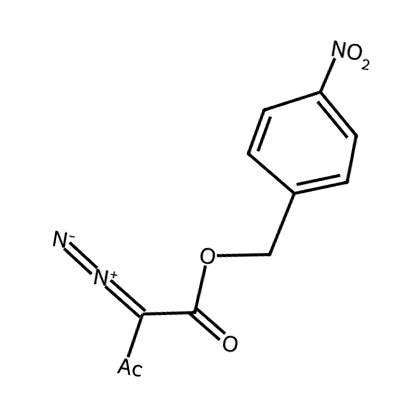 [CH2]C(=O)C(=[N+]=[N-])C(=O)OCc1ccc([N+](=O)[O-])cc1